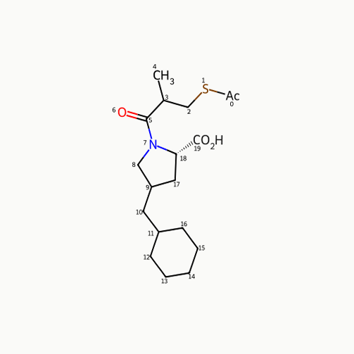 CC(=O)SCC(C)C(=O)N1CC(CC2CCCCC2)C[C@H]1C(=O)O